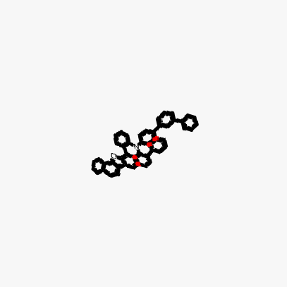 c1ccc(-c2cccc(-c3ccc(N(c4ccccc4-c4ccccc4)c4ccccc4-c4cccc5c4oc4c6ccccc6ccc54)cc3)c2)cc1